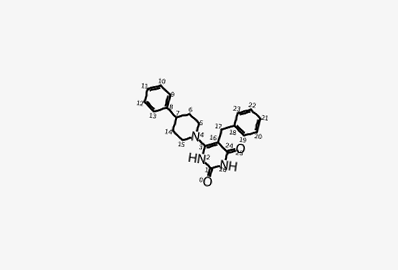 O=c1[nH]c(N2CCC(c3ccccc3)CC2)c(Cc2ccccc2)c(=O)[nH]1